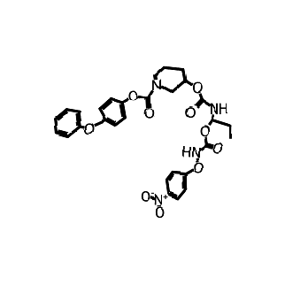 CCC(NC(=O)OC1CCCN(C(=O)Oc2ccc(Oc3ccccc3)cc2)C1)OC(=O)NOc1ccc([N+](=O)[O-])cc1